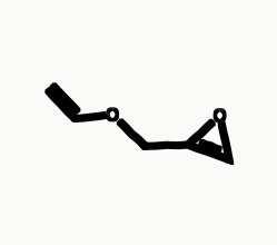 C=COCC1=CO1